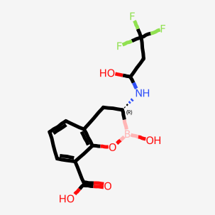 O=C(O)c1cccc2c1OB(O)[C@@H](NC(O)CC(F)(F)F)C2